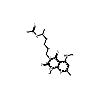 CNc1cc(C)nc2c1c(=O)n(CCCCC(C)OC(C)=O)c(=O)n2C